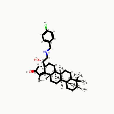 CC(=O)O[C@H]1CC[C@]2(C)[C@H]3CC[C@@H]4C5=C(C(C)C)C(=O)C[C@]5([C@H](O)CNCc5ccc(Cl)cc5)CC[C@@]4(C)[C@]3(C)CC[C@H]2C1(C)C